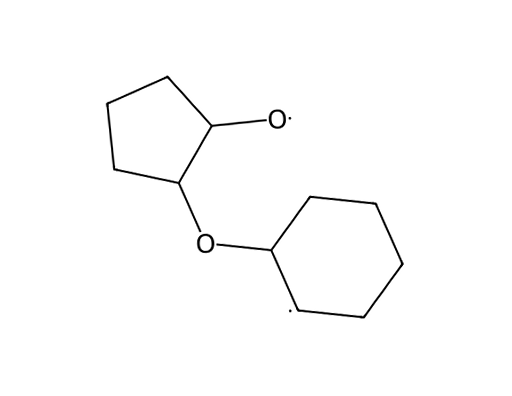 [O]C1CCCC1OC1[CH]CCCC1